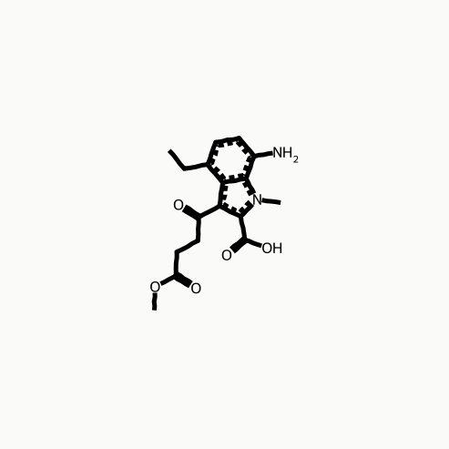 CCc1ccc(N)c2c1c(C(=O)CCC(=O)OC)c(C(=O)O)n2C